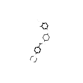 N#Cc1ccc(NC2CCC(NC(=O)c3ccc(N4CCOCC4)cc3)CC2)cc1C(F)(F)F